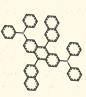 c1ccc(N(c2ccccc2)c2ccc3c(-c4ccc5ccccc5c4)c4ccc(N(c5ccccc5)c5ccccc5)cc4c(-c4ccc5ccccc5c4)c3c2)cc1